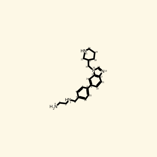 NCCNCc1ccc(-c2ccc3ncn(CC4CCCNC4)c3c2)cc1